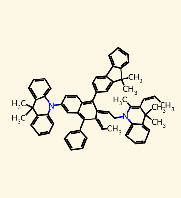 C/C=C\C1=C(C)N(C/C=c2/c(-c3ccc4c(c3)C(C)(C)c3ccccc3-4)c3ccc(N4c5ccccc5C(C)(C)c5ccccc54)cc3c(-c3ccccc3)/c2=C/C)c2ccccc2C1(C)C